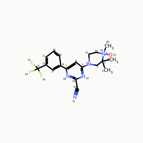 CC1(C)CN(c2cc(-c3cccc(C(F)(F)F)c3)nc(C#N)n2)CC[N+]1(C)[O-]